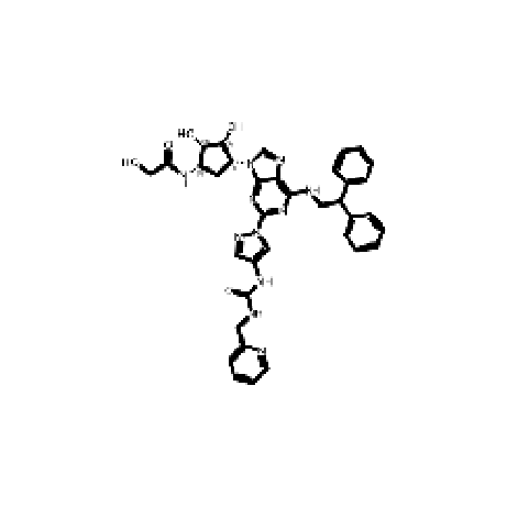 O=C(CO)N[C@H]1C[C@@H](n2cnc3c(NCC(c4ccccc4)c4ccccc4)nc(-n4cc(NC(=O)NCc5ccccn5)cn4)nc32)[C@H](O)[C@@H]1O